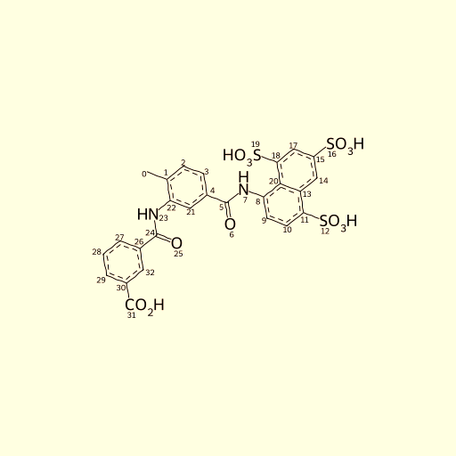 Cc1ccc(C(=O)Nc2ccc(S(=O)(=O)O)c3cc(S(=O)(=O)O)cc(S(=O)(=O)O)c23)cc1NC(=O)c1cccc(C(=O)O)c1